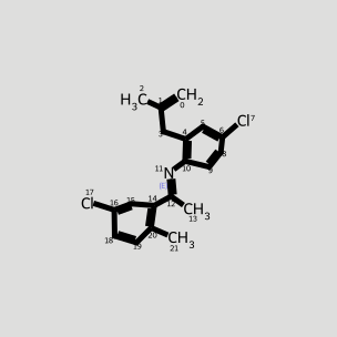 C=C(C)Cc1cc(Cl)ccc1/N=C(\C)c1cc(Cl)ccc1C